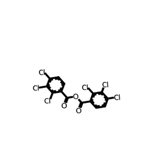 O=C(OC(=O)c1ccc(Cl)c(Cl)c1Cl)c1ccc(Cl)c(Cl)c1Cl